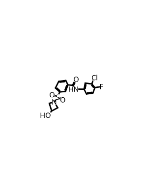 O=C(Nc1ccc(F)c(Cl)c1)c1cccc(S(=O)(=O)N2CC(O)C2)c1